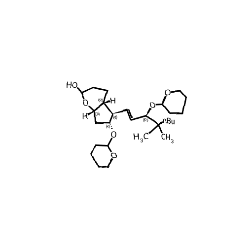 CCCCC(C)(C)[C@@H](C=C[C@@H]1[C@H]2CCC(O)O[C@H]2C[C@H]1OC1CCCCO1)OC1CCCCO1